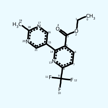 CCOC(=O)c1ccc(C(F)(F)F)nc1-c1cnc(C)nc1